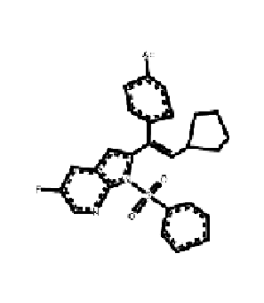 CC(=O)c1ccc(C(=CC2CCCC2)c2cc3cc(F)cnc3n2S(=O)(=O)c2ccccc2)cc1